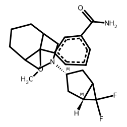 COC1(c2cccc(C(N)=O)c2)C2CCCC1CN([C@@H]1CC3[C@@H](C1)C3(F)F)C2